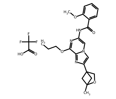 CCCOc1nc(NC(=O)c2ccccc2OC)cn2cc(C34COC(C)(C3)C4)nc12.O=C(O)C(F)(F)F